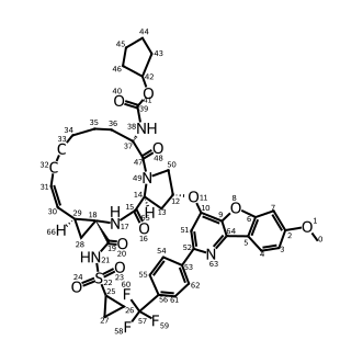 COc1ccc2c(c1)oc1c(O[C@@H]3C[C@H]4C(=O)N[C@]5(C(=O)NS(=O)(=O)C6CC6)C[C@H]5/C=C\CCCCC[C@H](NC(=O)OC5CCCC5)C(=O)N4C3)cc(-c3ccc(C(F)(F)F)cc3)nc12